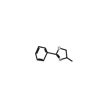 CC1COC(c2ccccc2)=N1